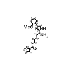 COc1ncccc1-c1c[nH]c([C@@H](N)CCCCCC(=O)c2ccon2)n1